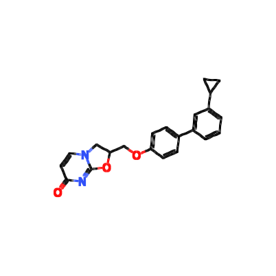 O=c1ccn2c(n1)OC(COc1ccc(-c3cccc(C4CC4)c3)cc1)C2